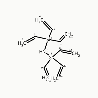 C=C[Si](C=C)(C=C)N[Si](C=C)(C=C)C=C